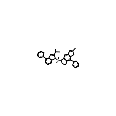 CC1=Cc2cc3c(c(-c4ccccc4)c2C1)CCC3[Si](C)(C)C1C(C(C)C)=Cc2c(-c3ccccc3)cccc21